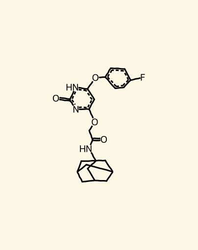 O=C(COc1cc(Oc2ccc(F)cc2)[nH]c(=O)n1)NC12CC3CC(CC(C3)C1)C2